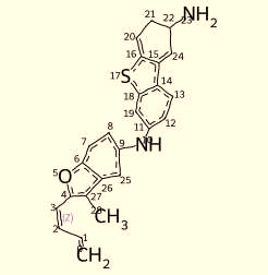 C=C/C=C\c1oc2ccc(Nc3ccc4c5c(sc4c3)=CCC(N)C=5)cc2c1C